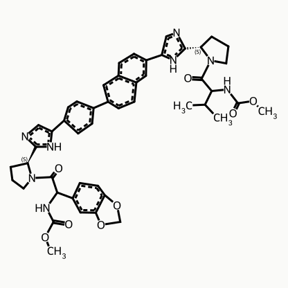 COC(=O)NC(C(=O)N1CCC[C@H]1c1ncc(-c2ccc(-c3ccc4cc(-c5cnc([C@@H]6CCCN6C(=O)C(NC(=O)OC)C(C)C)[nH]5)ccc4c3)cc2)[nH]1)c1ccc2c(c1)OCO2